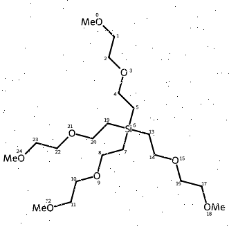 COCCOCC[Si](CCOCCOC)(CCOCCOC)CCOCCOC